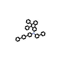 c1ccc(-c2ccc(-c3ccc(N(c4cccc(-c5ccccc5)c4)c4ccc5c(c4)c(-c4ccccc4)c(-c4ccccc4)c4ccccc45)cc3)cc2)cc1